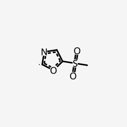 CS(=O)(=O)c1cn[c]o1